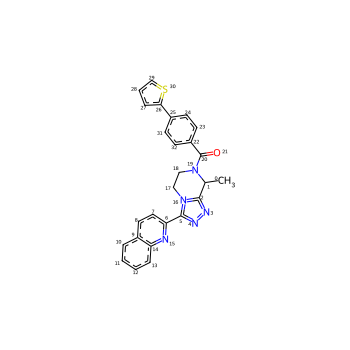 CC1c2nnc(-c3ccc4ccccc4n3)n2CCN1C(=O)c1ccc(-c2cccs2)cc1